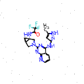 Cc1cc(Nc2nc(N3CC4C[C@@]4(NC(=O)C(F)(F)F)C3)nc3ncccc23)n[nH]1